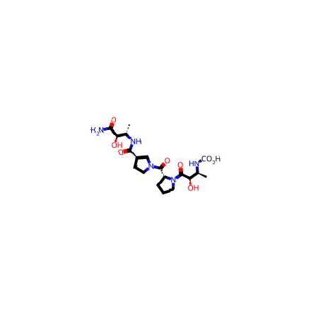 C[C@H](NC(=O)[C@@H]1CCN(C(=O)[C@H]2CCCN2C(=O)[C@H](O)[C@H](C)NC(=O)O)C1)[C@@H](O)C(N)=O